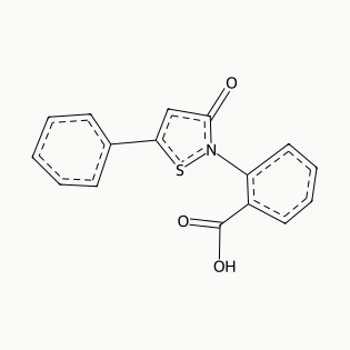 O=C(O)c1ccccc1-n1sc(-c2ccccc2)cc1=O